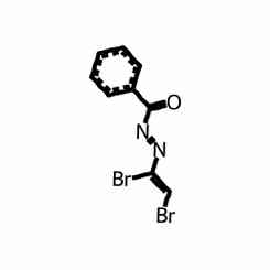 O=C(/N=N/C(Br)=C/Br)c1ccccc1